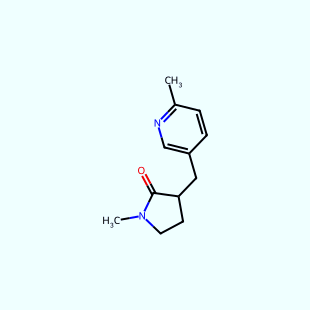 Cc1ccc(CC2CCN(C)C2=O)cn1